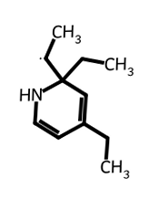 C[CH]C1(CC)C=C(CC)C=CN1